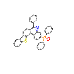 O=P(c1ccccc1)(c1ccccc1)c1ccc2c(c1)nc(-c1ccccc1)c1ccc3c4ccccc4sc3c12